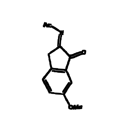 COc1ccc2c(c1)C(=O)C(=NC(C)=O)C2